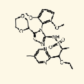 CCOC(c1ncc(C)cn1)C(C)S(=O)(=O)Nc1nnc([C@@H]2COCCO2)n1-c1c(OC)cccc1OC